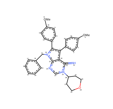 COc1ccc(-c2c(-c3ccc(OC)cc3)n(Cc3ccccc3)c3ncn(C4CCOCC4)c(=N)c23)cc1